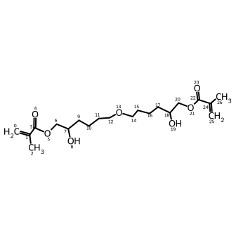 C=C(C)C(=O)OCC(O)CCCCOCCCCC(O)COC(=O)C(=C)C